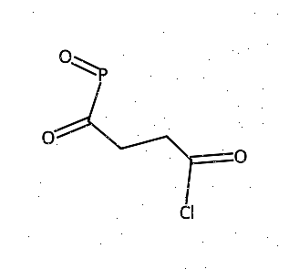 O=PC(=O)CCC(=O)Cl